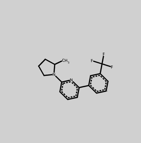 CC1CCCN1c1cccc(-c2c[c]cc(C(F)(F)F)c2)n1